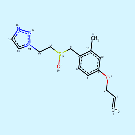 C=CCOc1ccc(C[S+]([O-])CCn2ccnn2)c(C)c1